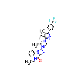 C=CN(C(=O)c1cnc(N2CCN(c3nnc(-c4ccc(C(F)(F)F)cc4)c(C)c3C)C[C@H]2C)cn1)c1ccccc1